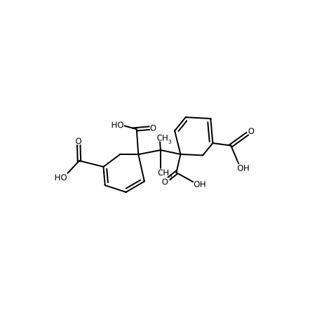 CC(C)(C1(C(=O)O)C=CC=C(C(=O)O)C1)C1(C(=O)O)C=CC=C(C(=O)O)C1